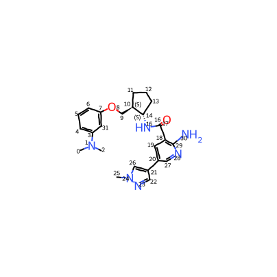 CN(C)c1cccc(OC[C@H]2CCC[C@@H]2NC(=O)c2cc(-c3cnn(C)c3)cnc2N)c1